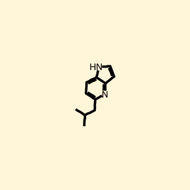 CC(C)Cc1ccc2[nH]ccc2n1